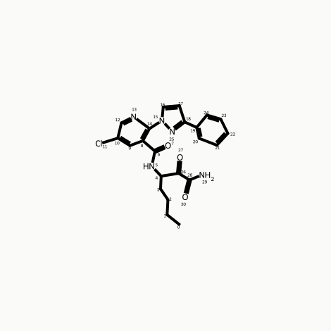 CCCCC(NC(=O)c1cc(Cl)cnc1-n1ccc(-c2ccccc2)n1)C(=O)C(N)=O